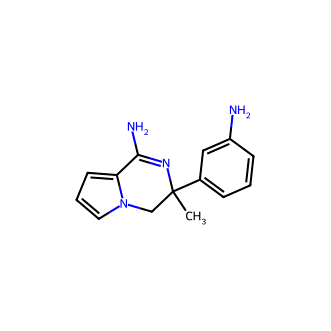 CC1(c2cccc(N)c2)Cn2cccc2C(N)=N1